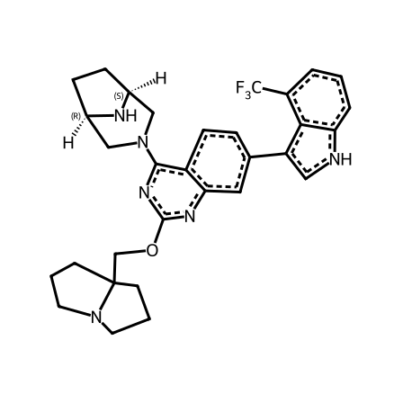 FC(F)(F)c1cccc2[nH]cc(-c3ccc4c(N5C[C@H]6CC[C@@H](C5)N6)nc(OCC56CCCN5CCC6)nc4c3)c12